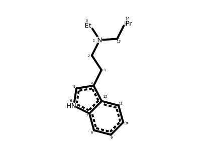 CCN(CCc1c[nH]c2ccccc12)CC(C)C